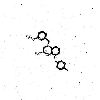 Cc1ccc(Oc2cccc(N(Cc3cccc(OC(F)(F)F)c3)C[C@@H](O)C(F)(F)F)c2)cc1